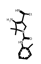 CCC(=N)C1=C(N)C(C)(C)N(C(=O)Nc2ccccc2C)C1